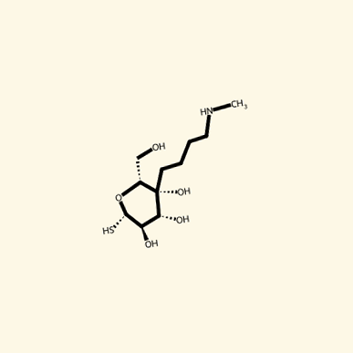 CNCCCC[C@@]1(O)[C@H](O)[C@@H](O)[C@H](S)O[C@@H]1CO